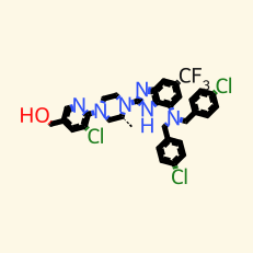 C[C@@H]1CN(c2ncc(CO)cc2Cl)CCN1c1nc2cc(C(F)(F)F)cc(N(Cc3ccc(Cl)cc3)Cc3ccc(Cl)cc3)c2[nH]1